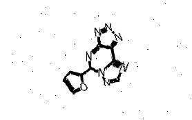 c1coc(C2N=C3N=NN=C3c3ncnn32)c1